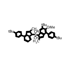 COc1c(C(C)(C)C)cc2c(c1-c1ccc(C(C)(C)C)cc1)C=C(C)C2S(C)(C)C1C(C)=Cc2c(-c3ccc(C(C)(C)C)cc3)cccc21